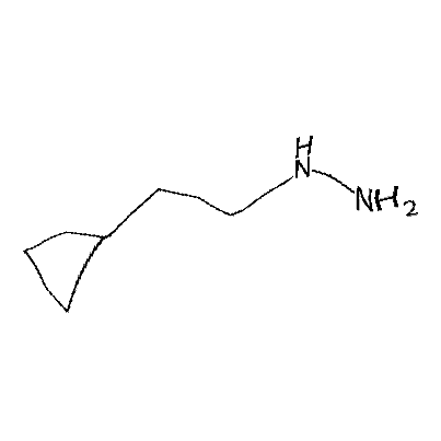 NNCCC1CC1